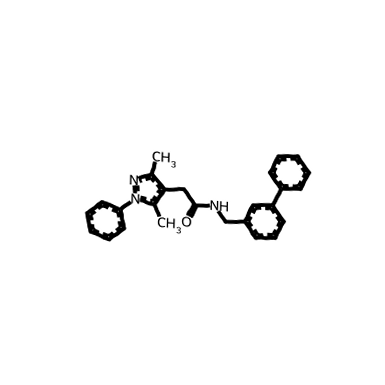 Cc1nn(-c2ccccc2)c(C)c1CC(=O)NCc1cccc(-c2ccccc2)c1